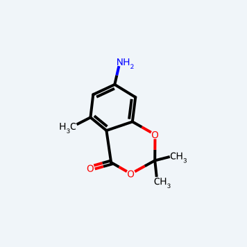 Cc1cc(N)cc2c1C(=O)OC(C)(C)O2